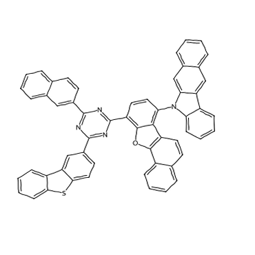 c1ccc2cc(-c3nc(-c4ccc5sc6ccccc6c5c4)nc(-c4ccc(-n5c6ccccc6c6cc7ccccc7cc65)c5c4oc4c6ccccc6ccc45)n3)ccc2c1